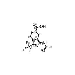 CC(=O)Nc1nc(C(F)(F)F)n2c1CN(C(=O)O)CC2